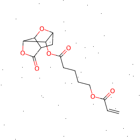 C=CC(=O)OCCCCC(=O)OC1C2CC3C(=O)OC1C3O2